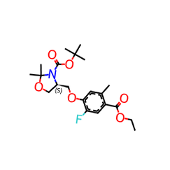 CCOC(=O)c1cc(F)c(OC[C@H]2COC(C)(C)N2C(=O)OC(C)(C)C)cc1C